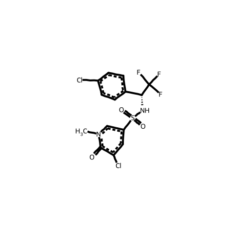 Cn1cc(S(=O)(=O)N[C@H](c2ccc(Cl)cc2)C(F)(F)F)cc(Cl)c1=O